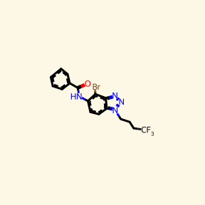 O=C(Nc1ccc2c(nnn2CCCC(F)(F)F)c1Br)c1ccccc1